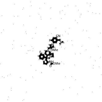 COC(=O)N[C@H]1CCC[C@@H]1[C@](CN1CCC1)(c1cccc(F)c1)C1CCN(CC2(OC)CN(c3cc(CN(C)C)c(C#N)cc3F)C2)CC1